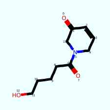 O=C1C=CCN(C(=O)CCCCO)C1